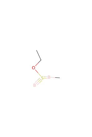 B#S(=BC)OCC